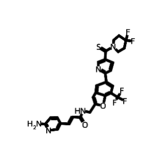 Nc1ccc(/C=C/C(=O)NCc2cc3cc(-c4ccc(C(=S)N5CCC(F)(F)CC5)cn4)cc(C(F)(F)F)c3o2)cn1